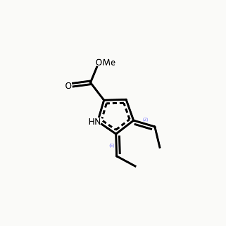 C/C=c1/cc(C(=O)OC)[nH]/c1=C/C